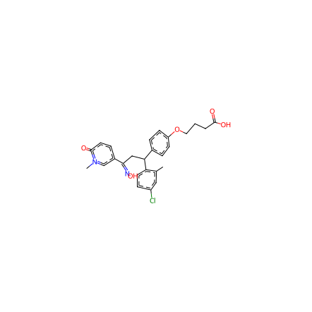 Cc1cc(Cl)ccc1C(C/C(=N\O)c1ccc(=O)n(C)c1)c1ccc(OCCCC(=O)O)cc1